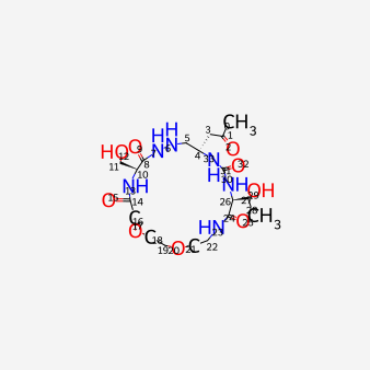 CC(=O)C[C@H]1CNNC(=O)[C@H](CO)NC(=O)COCCOCCNC(=O)[C@H](C(C)O)NC(=O)N1